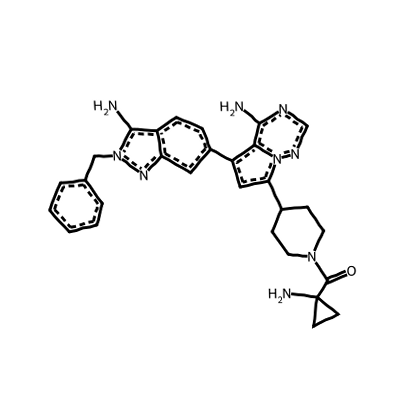 Nc1ncnn2c(C3CCN(C(=O)C4(N)CC4)CC3)cc(-c3ccc4c(N)n(Cc5ccccc5)nc4c3)c12